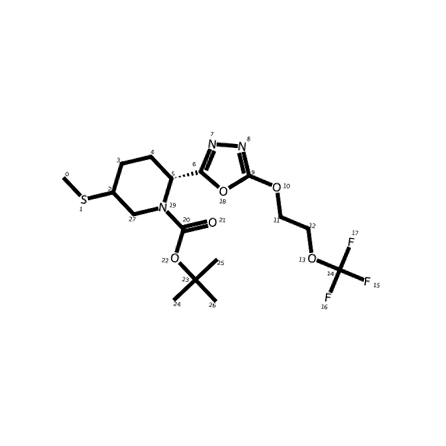 CSC1CC[C@H](c2nnc(OCCOC(F)(F)F)o2)N(C(=O)OC(C)(C)C)C1